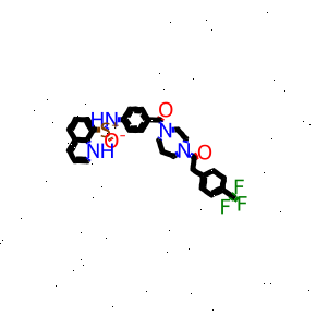 O=C(CC1=CC=C(C(F)(F)F)CC1)N1CCCN(C(=O)c2ccc(N[S+]([O-])C3=CC=CC4=CC=CNC43)cc2)CC1